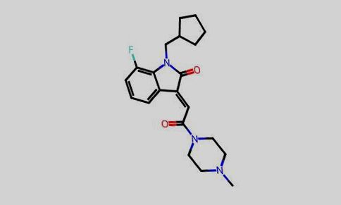 CN1CCN(C(=O)/C=C2/C(=O)N(CC3CCCC3)c3c(F)cccc32)CC1